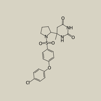 CC1(C2CCCN2S(=O)(=O)c2ccc(Oc3ccc(Cl)cc3)cc2)CC(=O)NC(=O)N1